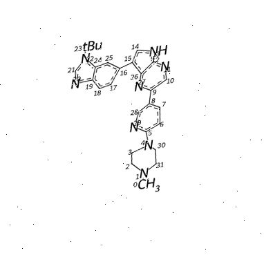 CN1CCN(c2ccc(-c3cnc4[nH]cc(-c5ccc6ncn(C(C)(C)C)c6c5)c4n3)cn2)CC1